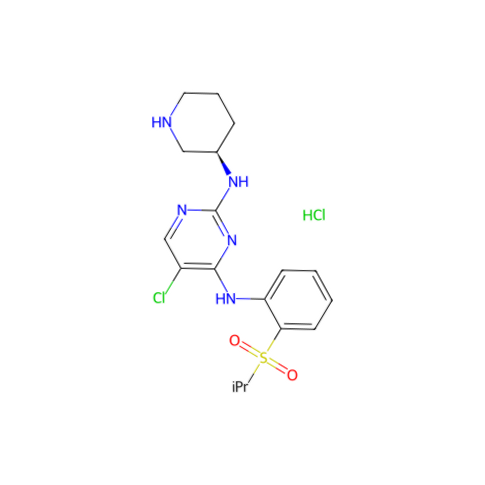 CC(C)S(=O)(=O)c1ccccc1Nc1nc(N[C@@H]2CCCNC2)ncc1Cl.Cl